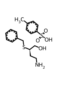 Cc1ccc(S(=O)(=O)O)cc1.NCC[C@H](CO)SCc1ccccc1